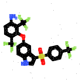 Nc1[c]cc(C(F)(F)F)c(Oc2ccc3[nH]cc(S(=O)(=O)c4ccc(C(F)(F)F)cc4)c3c2)c1C(F)(F)F